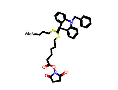 CNCCCSC(SCCCCCC(=O)ON1C(=O)CCC1=O)=C1c2ccccc2N(Cc2ccccc2)c2ccccc21